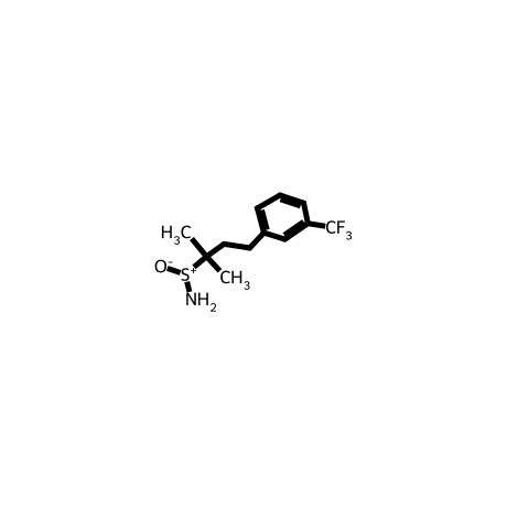 CC(C)(CCc1cccc(C(F)(F)F)c1)[S+](N)[O-]